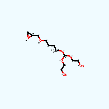 OCCOC(OCCO)O[SiH2]CCCOCC1CO1